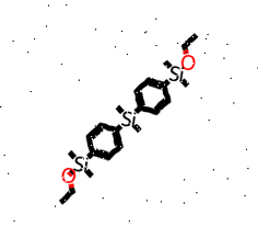 CCO[Si](C)(C)c1ccc([Si](C)(C)c2ccc([Si](C)(C)OCC)cc2)cc1